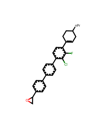 CCCC1CC=C(c2ccc(-c3ccc(-c4ccc(C5CO5)cc4)cc3)c(Cl)c2F)CC1